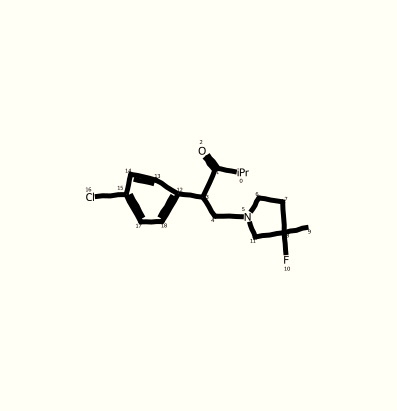 CC(C)C(=O)C(CN1CCC(C)(F)C1)c1ccc(Cl)cc1